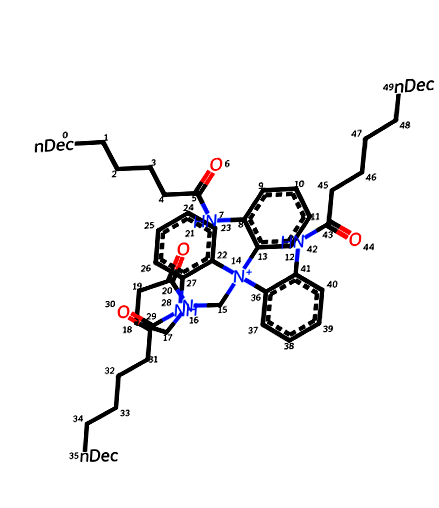 CCCCCCCCCCCCCCC(=O)Nc1ccccc1[N+](CN1CCCC1=O)(c1ccccc1NC(=O)CCCCCCCCCCCCCC)c1ccccc1NC(=O)CCCCCCCCCCCCCC